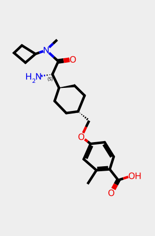 Cc1cc(OC[C@H]2CC[C@H]([C@H](N)C(=O)N(C)C3CCC3)CC2)ccc1C(=O)O